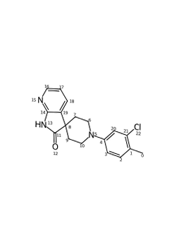 Cc1ccc(N2CCC3(CC2)C(=O)Nc2ncccc23)cc1Cl